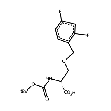 CC(C)(C)OC(=O)N[C@H](COCc1ccc(F)cc1F)C(=O)O